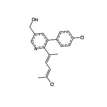 C/C(Cl)=C\C=C(/C)c1ncc(CO)cc1-c1ccc(Cl)cc1